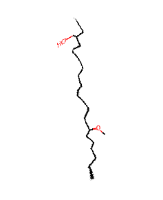 [CH2]CC(O)CCCCCCCCC(CCCCCC)OC